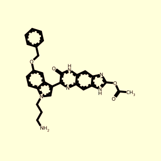 CC(=O)Oc1nc2cc3[nH]c(=O)c(-c4cn(CCCN)c5ccc(OCc6ccccc6)cc45)nc3cc2[nH]1